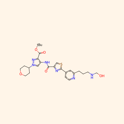 CC(C)(C)OC(=O)c1nn(C2CCOCC2)cc1NC(=O)c1csc(-c2ccnc(CCCNCO)c2)n1